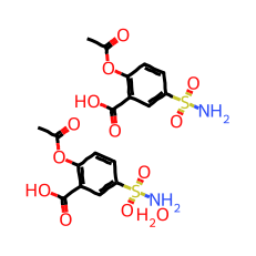 CC(=O)Oc1ccc(S(N)(=O)=O)cc1C(=O)O.CC(=O)Oc1ccc(S(N)(=O)=O)cc1C(=O)O.O